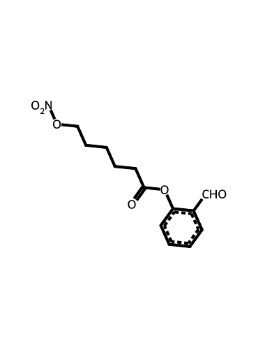 O=Cc1ccccc1OC(=O)CCCCCO[N+](=O)[O-]